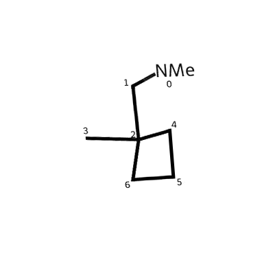 CNCC1(C)CCC1